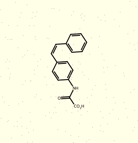 O=C(O)C(=O)Nc1ccc(/C=C\c2ccccc2)cc1